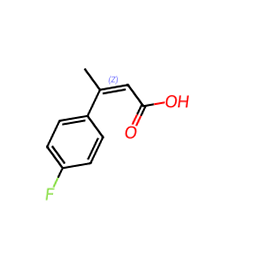 C/C(=C/C(=O)O)c1ccc(F)cc1